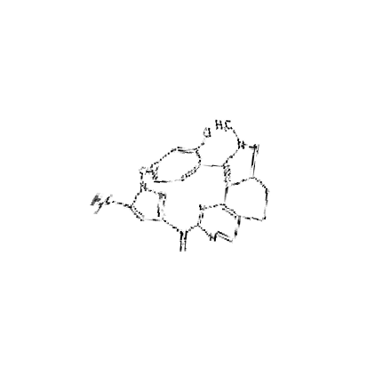 Cc1cc(Nc2ncc3c(n2)-c2c(nn(C)c2-c2ccccc2Cl)CC3)nn1C